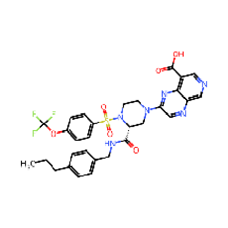 CCCc1ccc(CNC(=O)[C@H]2CN(c3cnc4cncc(C(=O)O)c4n3)CCN2S(=O)(=O)c2ccc(OC(F)(F)F)cc2)cc1